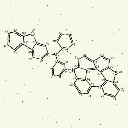 c1ccc(N(c2cccc(-n3c4cccc5c4c4c6c(ccc7sc8cccc-5c8c76)ccc43)c2)c2ccc3c(c2)oc2ccccc23)cc1